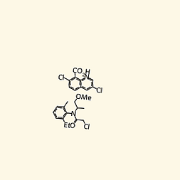 CCc1cccc(C)c1N(C(=O)CCl)C(C)COC.O=C(O)c1c(Cl)ccc2cc(Cl)cnc12